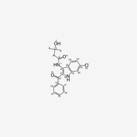 CC(C)(O)CC(=O)Nc1c(C(=O)c2ccccc2)[nH]c2cc(Cl)ccc12